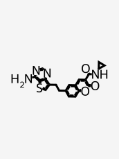 Nc1ncnc2c(CCc3ccc4oc(=O)c(C(=O)NC5CC5)cc4c3)csc12